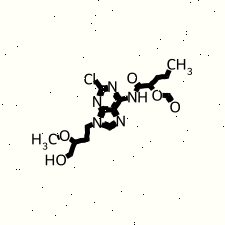 CCCC(OC=O)C(=O)Nc1nc(Cl)nc2c1ncn2CCC(CO)OC